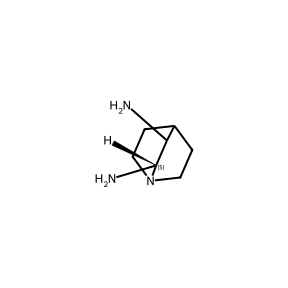 NC1C2CCN(CC2)[C@@H]1N